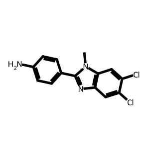 Cn1c(-c2ccc(N)cc2)nc2cc(Cl)c(Cl)cc21